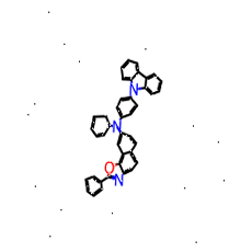 C1=CCC(N(c2ccc(-n3c4ccccc4c4ccccc43)cc2)c2ccc3ccc4nc(-c5ccccc5)oc4c3c2)C=C1